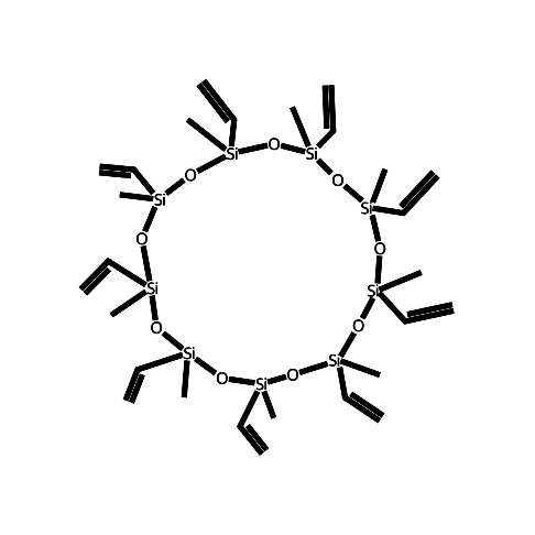 C=C[Si]1(C)O[Si](C)(C=C)O[Si](C)(C=C)O[Si](C)(C=C)O[Si](C)(C=C)O[Si](C)(C=C)O[Si](C)(C=C)O[Si](C)(C=C)O[Si](C)(C=C)O1